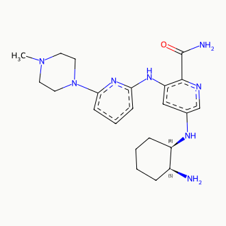 CN1CCN(c2cccc(Nc3cc(N[C@@H]4CCCC[C@@H]4N)cnc3C(N)=O)n2)CC1